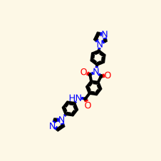 O=C(Nc1ccc(-n2ccnc2)cc1)c1ccc2c(c1)C(=O)N(c1ccc(-n3ccnc3)cc1)C2=O